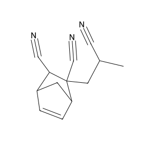 CC(C#N)CC1(C#N)C2C=CC(C2)C1C#N